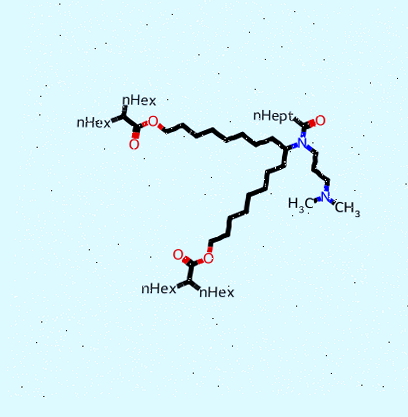 CCCCCCCC(=O)N(CCCN(C)C)C(CCCCCCCCOC(=O)C(CCCCCC)CCCCCC)CCCCCCCCOC(=O)C(CCCCCC)CCCCCC